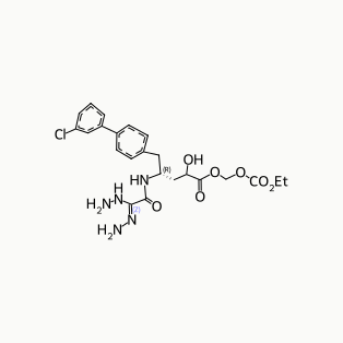 CCOC(=O)OCOC(=O)C(O)C[C@@H](Cc1ccc(-c2cccc(Cl)c2)cc1)NC(=O)/C(=N/N)NN